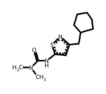 CN(C)C(=O)Nc1cc(CC2CCCCC2)ns1